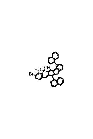 CC1(C)c2cc(Br)ccc2C=c2c1cc1c(c2-c2cccc3ccccc23)C=c2cccc(-c3cccc4ccccc34)c2=1